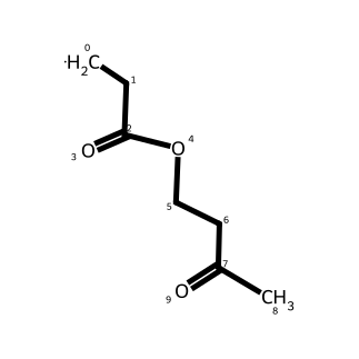 [CH2]CC(=O)OCCC(C)=O